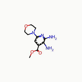 COC(=O)c1cc(N2CCOCC2)nc(N)c1N